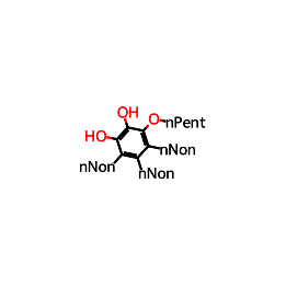 CCCCCCCCCc1c(O)c(O)c(OCCCCC)c(CCCCCCCCC)c1CCCCCCCCC